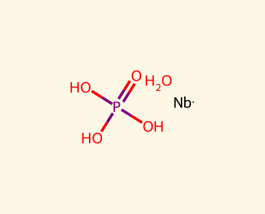 O.O=P(O)(O)O.[Nb]